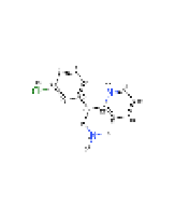 CN(C)CC(c1cccc(Cl)c1)c1ccccn1